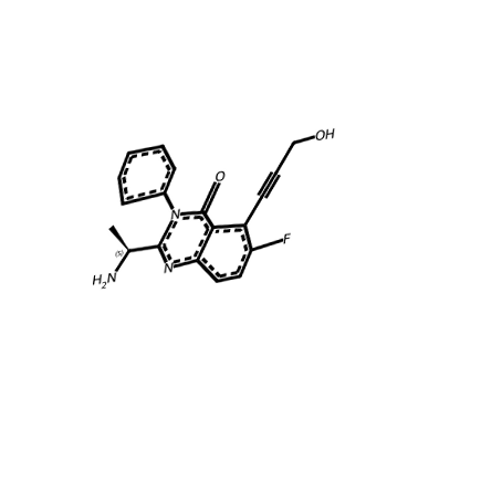 C[C@H](N)c1nc2ccc(F)c(C#CCO)c2c(=O)n1-c1ccccc1